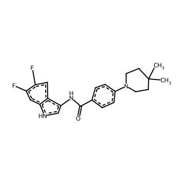 CC1(C)CCN(c2ccc(C(=O)Nc3c[nH]c4cc(F)c(F)cc34)cc2)CC1